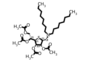 CCCCCCCCN(CCCCCCCC)S[C@@H]1S[C@H]([C@@H](COC(C)=O)OC(C)=O)[C@H](OC(C)=O)[C@H]1OC(C)=O